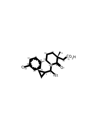 CCC(C1CC1)N1C(=O)[C@@](C)(CC(=O)O)CC[C@H]1c1ccc(Cl)cc1